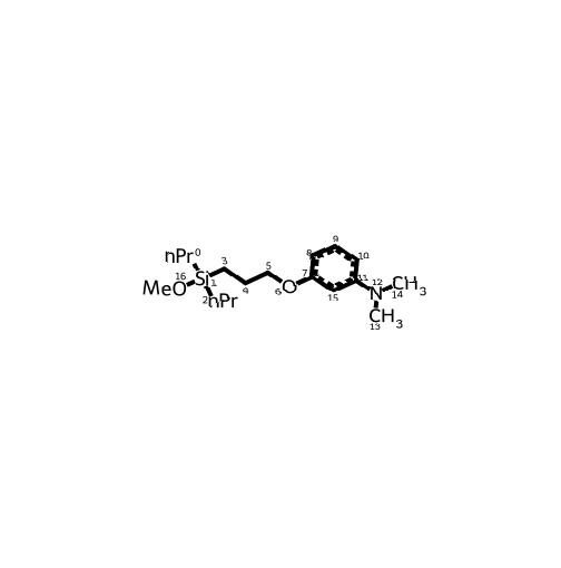 CCC[Si](CCC)(CCCOc1cccc(N(C)C)c1)OC